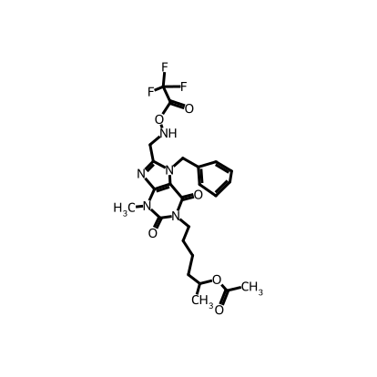 CC(=O)OC(C)CCCCn1c(=O)c2c(nc(CNOC(=O)C(F)(F)F)n2Cc2ccccc2)n(C)c1=O